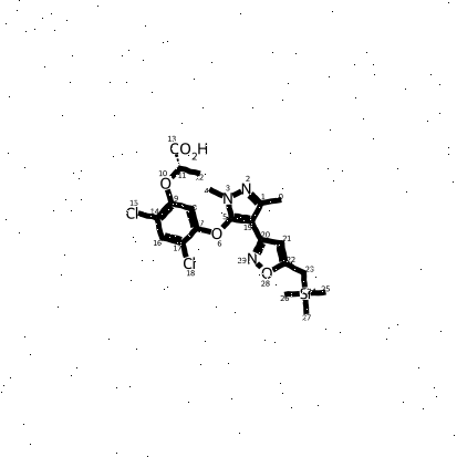 Cc1nn(C)c(Oc2cc(O[C@@H](C)C(=O)O)c(Cl)cc2Cl)c1-c1cc(C[Si](C)(C)C)on1